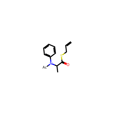 C=CCSC(=O)C(C)N(C(C)=O)c1ccccc1